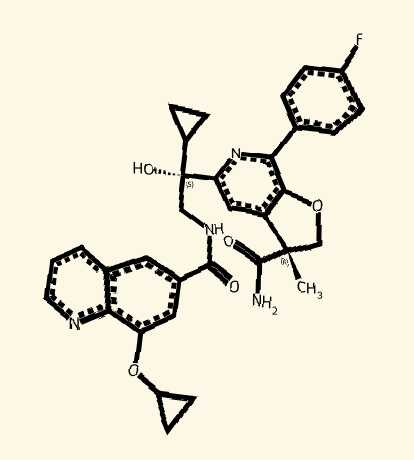 C[C@]1(C(N)=O)COc2c1cc([C@@](O)(CNC(=O)c1cc(OC3CC3)c3ncccc3c1)C1CC1)nc2-c1ccc(F)cc1